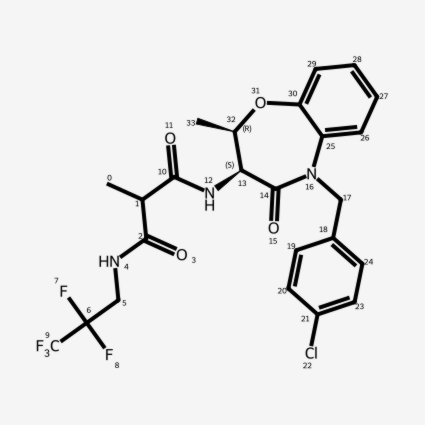 CC(C(=O)NCC(F)(F)C(F)(F)F)C(=O)N[C@@H]1C(=O)N(Cc2ccc(Cl)cc2)c2ccccc2O[C@@H]1C